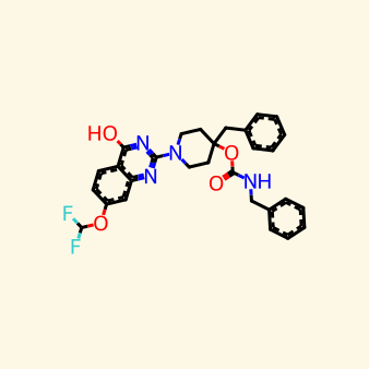 O=C(NCc1ccccc1)OC1(Cc2ccccc2)CCN(c2nc(O)c3ccc(OC(F)F)cc3n2)CC1